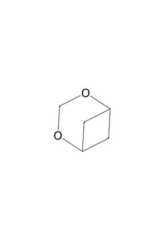 C1OC2CC(C2)O1